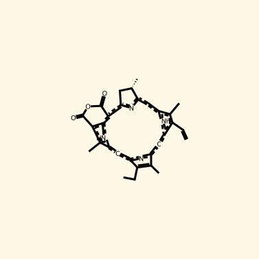 C=Cc1c(C)c2cc3nc(c4c5[nH]c(cc6nc(cc1[nH]2)C(C)=C6CC)c(C)c5C(=O)OC4=O)C[C@@H]3C